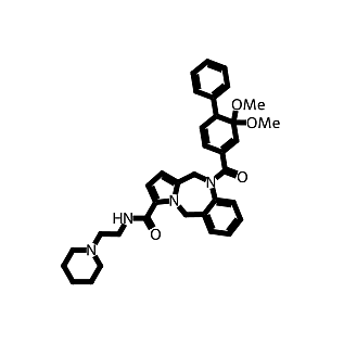 COC1(OC)C=C(C(=O)N2Cc3ccc(C(=O)NCCN4CCCCC4)n3Cc3ccccc32)C=CC1c1ccccc1